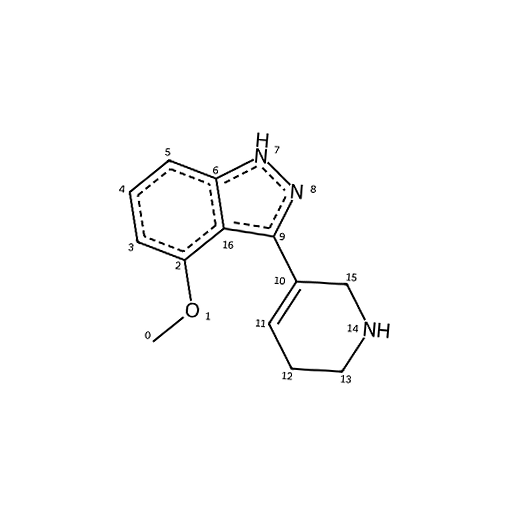 COc1cccc2[nH]nc(C3=CCCNC3)c12